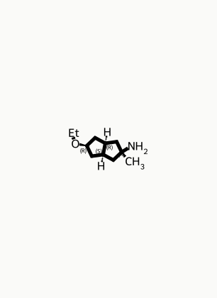 CCO[C@@H]1C[C@@H]2C[C@@](C)(N)C[C@@H]2C1